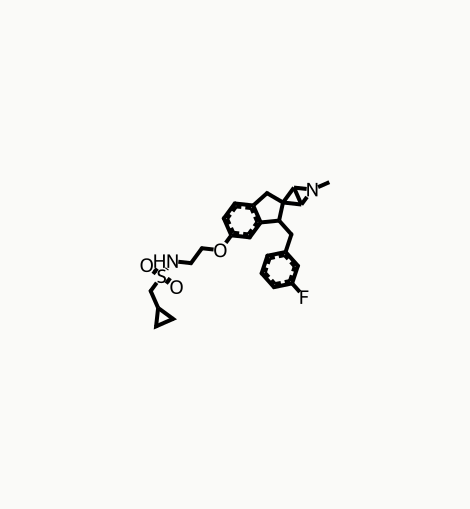 CN1C2C1C21Cc2ccc(OCCNS(=O)(=O)CC3CC3)cc2C1Cc1cccc(F)c1